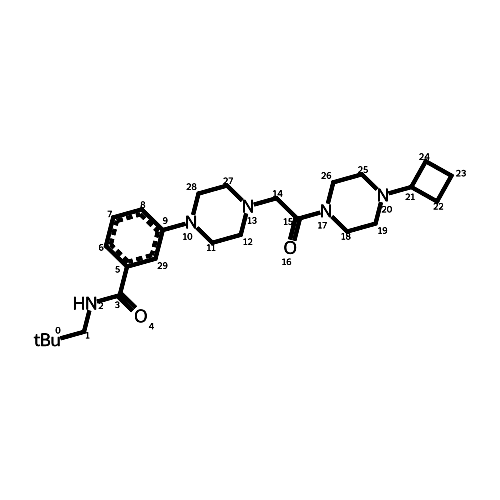 CC(C)(C)CNC(=O)c1cccc(N2CCN(CC(=O)N3CCN(C4CCC4)CC3)CC2)c1